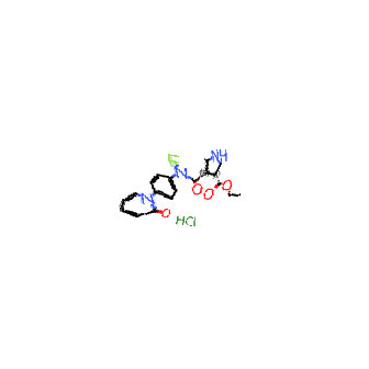 CCOC(=O)[C@H]1CNC[C@@H]1C(=O)N(F)c1ccc(-n2ccccc2=O)cc1.Cl